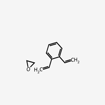 C1CO1.C=Cc1ccccc1C=C